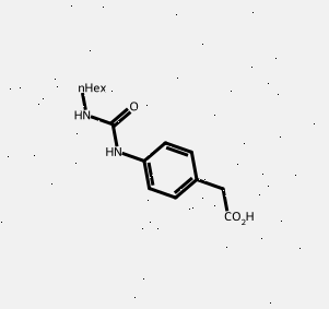 CCCCCCNC(=O)Nc1ccc(CC(=O)O)cc1